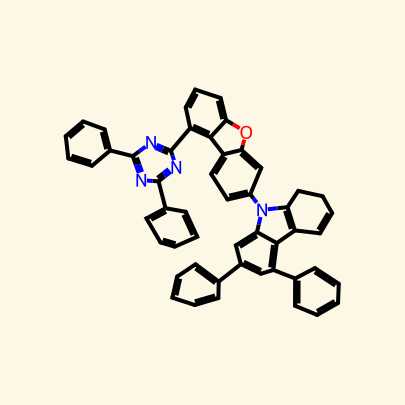 C1=Cc2c(n(-c3ccc4c(c3)oc3cccc(-c5nc(-c6ccccc6)nc(-c6ccccc6)n5)c34)c3cc(-c4ccccc4)cc(-c4ccccc4)c23)CC1